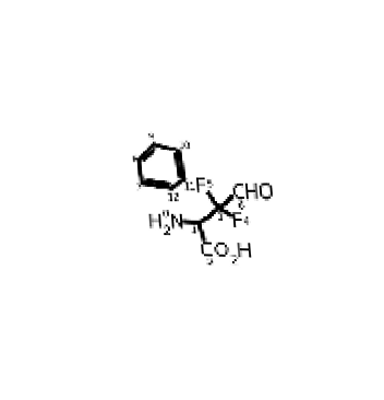 NC(C(=O)O)C(F)(F)C=O.c1ccccc1